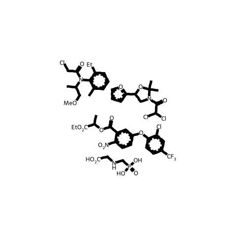 CC1(C)OC(c2ccco2)CN1C(=O)C(Cl)Cl.CCOC(=O)C(C)OC(=O)c1cc(Oc2ccc(C(F)(F)F)cc2Cl)ccc1[N+](=O)[O-].CCc1cccc(C)c1N(C(=O)CCl)C(C)COC.O=C(O)CNCP(=O)(O)O